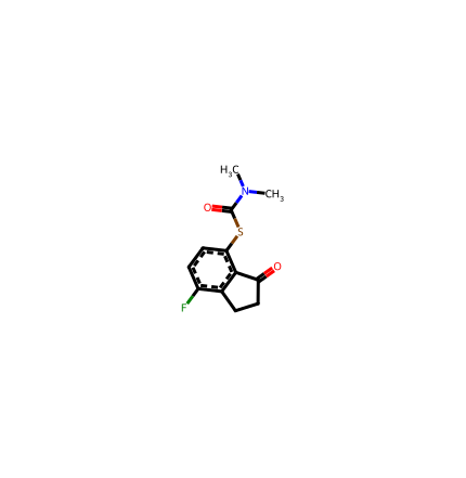 CN(C)C(=O)Sc1ccc(F)c2c1C(=O)CC2